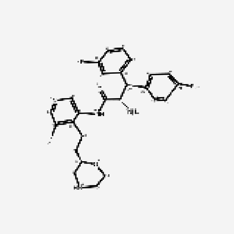 N[C@H](C(=O)Nc1cncc(F)c1CC[C@@H]1CNCCO1)[C@H](c1ccc(F)cc1)c1cccc(F)c1